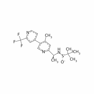 Cc1cc([C@H](C)N[S@@+]([O-])C(C)(C)C)ncc1-c1ccnc(C(F)(F)F)c1